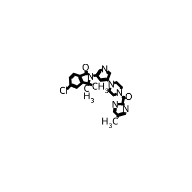 Cc1cnc(C(=O)N2CCN(c3cncc(N4C(=O)c5ccc(Cl)cc5C4(C)C)c3)CC2)nc1